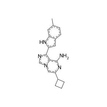 Cc1ccc2cc(-c3ncn4cc(C5CCC5)nc(N)c34)[nH]c2c1